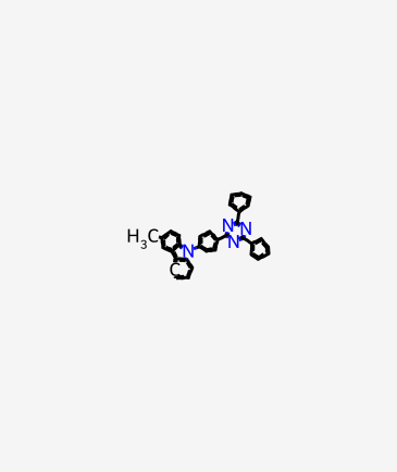 Cc1ccc2c(c1)c1ccccc1n2-c1ccc(-c2nc(-c3ccccc3)nc(-c3ccccc3)n2)cc1